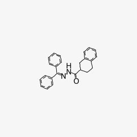 O=C(NN=C(c1ccccc1)c1ccccc1)C1CCc2ccccc2C1